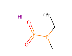 CCCCP(C)P(=O)=O.I